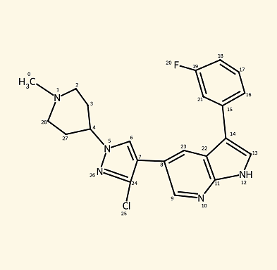 CN1CCC(n2cc(-c3cnc4[nH]cc(-c5cccc(F)c5)c4c3)c(Cl)n2)CC1